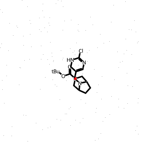 CC(C)(C)OC(=O)N1CC2CCC(C1)N2CC1=CN=C(Cl)NC1